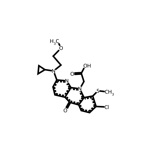 COCCN(c1ccc2c(=O)c3ccc(Cl)c(SC)c3n(CC(=O)O)c2n1)C1CC1